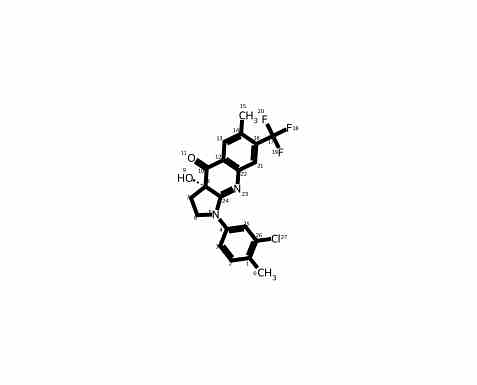 Cc1ccc(N2CC[C@@]3(O)C(=O)c4cc(C)c(C(F)(F)F)cc4N=C23)cc1Cl